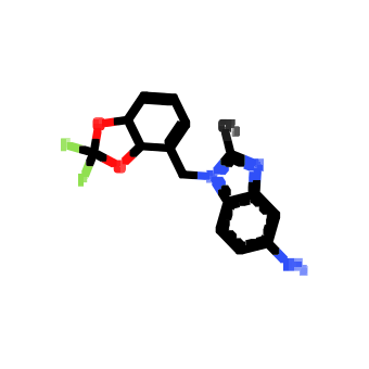 Nc1ccc2c(c1)nc(C(F)(F)F)n2CC1=CC=CC2OC(F)(F)OC12